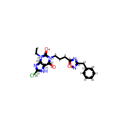 CCn1c(=O)n(CCCc2nc(Cc3ccccc3)no2)c(=O)c2[nH]c(Cl)nc21